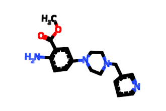 COC(=O)c1cc(N2CCN(Cc3cccnc3)CC2)ccc1N